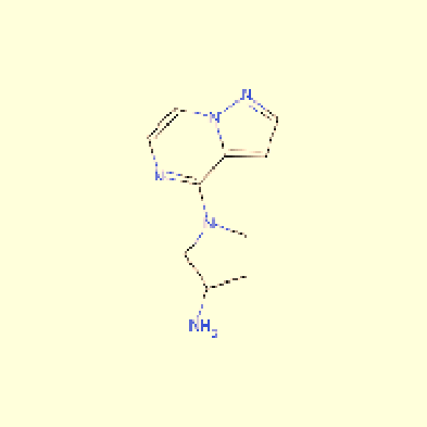 NC1CCN(c2nccn3nccc23)C1